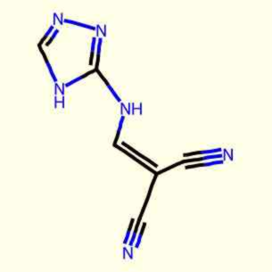 N#CC(C#N)=CNc1nnc[nH]1